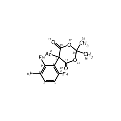 CC(=O)C1(c2c(F)ccc(F)c2F)C(=O)OC(C)(C)OC1=O